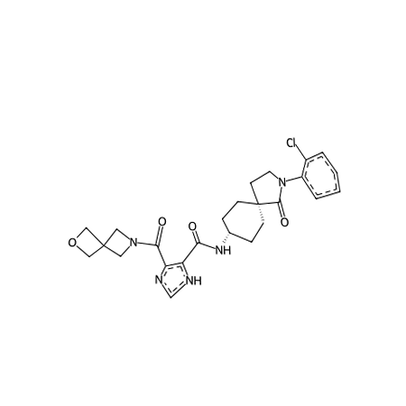 O=C(N[C@H]1CC[C@@]2(CCN(c3ccccc3Cl)C2=O)CC1)c1[nH]cnc1C(=O)N1CC2(COC2)C1